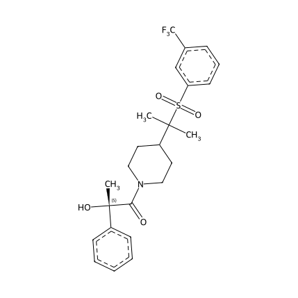 CC(C)(C1CCN(C(=O)[C@@](C)(O)c2ccccc2)CC1)S(=O)(=O)c1cccc(C(F)(F)F)c1